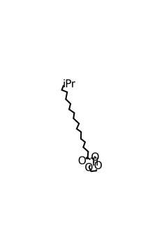 CC(C)CCCCCCCCCCCCCC[C](=O)[Ti]1(=[O])[O]CC[O]1